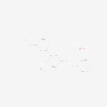 CCNCc1cccc(-c2cc(COc3ccccc3CC(=O)O)cc3ccoc23)c1